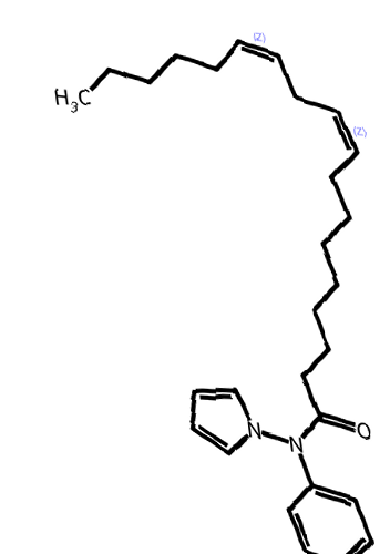 CCCCC/C=C\C/C=C\CCCCCCCC(=O)N(c1ccncc1)n1cccc1